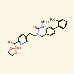 CCCCCCNC(=O)N(CCc1ccc(C(O)P2(=O)OCCO2)nc1)Cc1ccc(-c2ccccc2C(F)(F)F)cc1